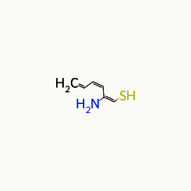 C=C/C=C\C(N)=C/S